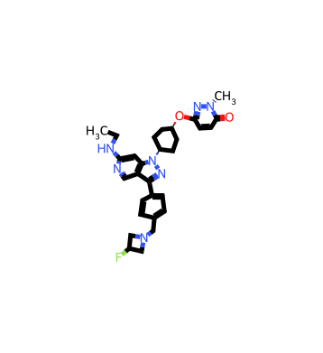 CCNc1cc2c(cn1)c(-c1ccc(CN3CC(F)C3)cc1)nn2[C@H]1CC[C@@H](Oc2ccc(=O)n(C)n2)CC1